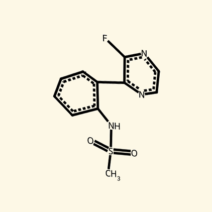 CS(=O)(=O)Nc1ccc[c]c1-c1nccnc1F